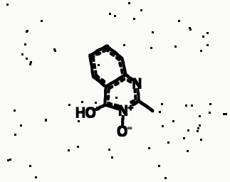 Cc1nc2ccccc2c(O)[n+]1[O-]